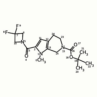 Cn1c(C(=O)N2CC(F)(F)C2)cc2c1CN(C(=O)OC(C)(C)C)CC2